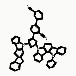 N#Cc1cccc(-c2ccc(-c3cc(-n4c5ccccc5c5cc6c(cc54)Cc4ccccc4-6)cc(-n4c5ccccc5c5c4ccc4c6ccccc6n(-c6ccccc6)c45)c3)c(C#N)c2)c1